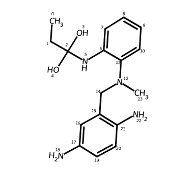 CCC(O)(O)Nc1ccccc1N(C)Cc1cc(N)ccc1N